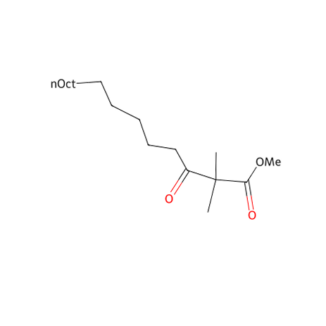 CCCCCCCCCCCCCC(=O)C(C)(C)C(=O)OC